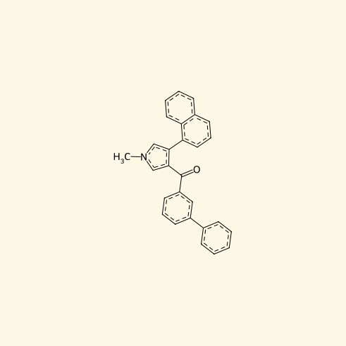 Cn1cc(C(=O)c2cccc(-c3ccccc3)c2)c(-c2cccc3ccccc23)c1